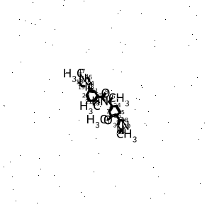 COc1cc(C(C)NC(=O)c2cc(N3CCN(C)CC3)ccc2C)ccc1-c1cnn(C)c1